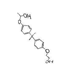 CC(O)Oc1ccc(C(C)(C)c2ccc(OCCO)cc2)cc1